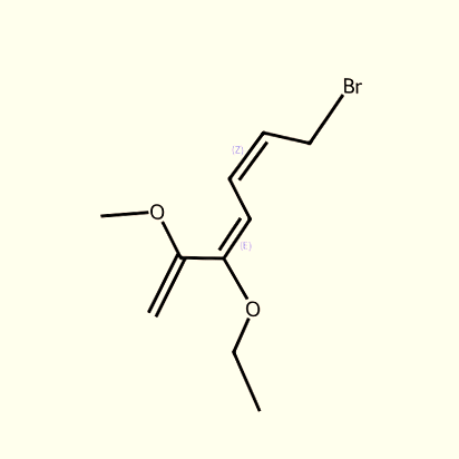 C=C(OC)/C(=C\C=C/CBr)OCC